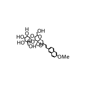 COc1ccc2cc(/C=C/C(=O)C[C@@H]3OC(CO)[C@@H](O[C@@H]4OC(CO)[C@H](O)C(O)C4O)C(O)C3O)ccc2c1